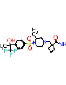 CC1CN(CC2(C(N)=O)CCC2)CCN1S(=O)(=O)c1ccc(C(C)(O)C(F)(F)F)cc1